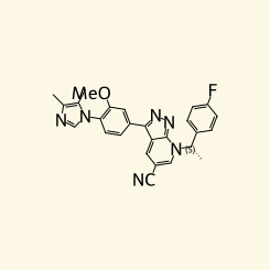 COc1cc(-c2nnc3n([C@@H](C)c4ccc(F)cc4)cc(C#N)cc2-3)ccc1-n1cnc(C)c1C